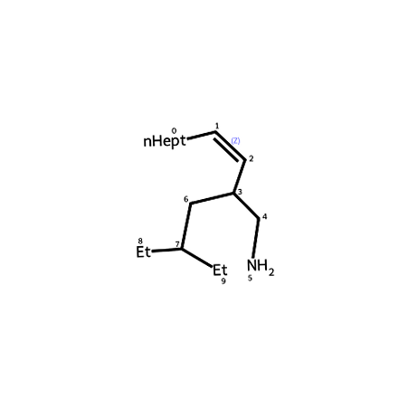 CCCCCCC/C=C\C(CN)CC(CC)CC